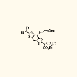 CCCCCCCCCCCCSc1c2c(cc3c1SC(=C(C(=O)OCC)C(=O)OCC)S3)SC(=C(CC)CC)S2